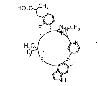 CC(Cc1cccc(C2CCCC(C)(C)CSCCc3c(c(F)cc4[nH]ccc34)Sc3ccnc(c3)-c3nc2nn3C)c1F)C(=O)O